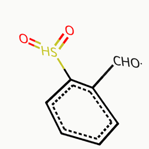 O=[C]c1ccccc1[SH](=O)=O